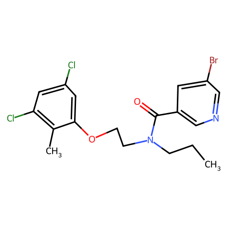 CCCN(CCOc1cc(Cl)cc(Cl)c1C)C(=O)c1cncc(Br)c1